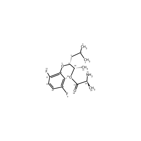 CC(C)C[C@@H](Oc1cc(F)ccc1F)[C@H](C)OC(=O)[C@H](C)N